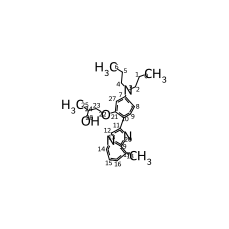 CCCN(CCC)c1ccc(-c2cn3cccc(C)c3n2)c(OCC(C)O)c1